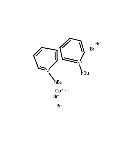 CCCC[n+]1ccccc1.CCCC[n+]1ccccc1.[Br-].[Br-].[Br-].[Br-].[Co+2]